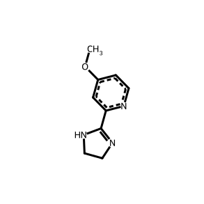 COc1ccnc(C2=NCCN2)c1